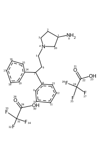 NC1CCN(CCC(c2ccccc2)c2ccccc2)C1.O=C(O)C(F)(F)F.O=C(O)C(F)(F)F